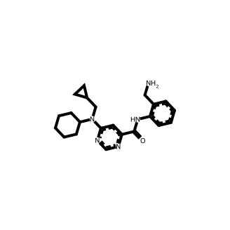 NCc1ccccc1NC(=O)c1cc(N(CC2CC2)C2CCCCC2)ncn1